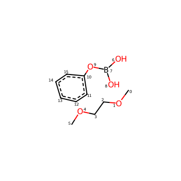 COCCOC.OB(O)Oc1ccccc1